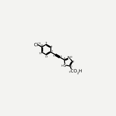 O=C(O)c1cnc(C#Cc2ccc(Cl)cc2)s1